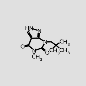 Cn1c(=O)c2c[nH]nc2n(CC(C)(C)C)c1=O